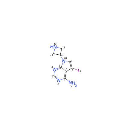 Nc1ncnc2c1c(I)cn2C1CNC1